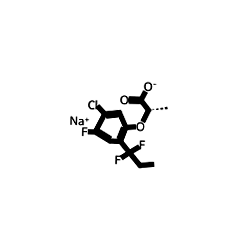 CCC(F)(F)c1cc(F)c(Cl)cc1O[C@@H](C)C(=O)[O-].[Na+]